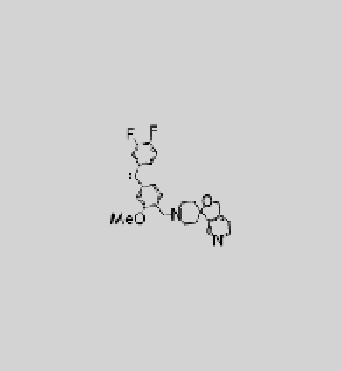 COc1cc([C]c2ccc(F)c(F)c2)ccc1CN1CCC2(CC1)OCc1ccncc12